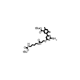 Cc1cc(C)c(-c2cc(SCCC(=O)NCCCCNC(=O)OC(C)(C)C)nc(N)n2)cc1C(=O)OC(C)(C)C